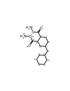 NOC(=O)C1CCC(CC2CCCCC2)CC1C(=O)ON